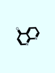 O=C1C=CN=C2N=CCC=C12